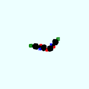 Clc1ccc(-c2nc3cc(Oc4ccc5oc(-c6ccc(Cl)cc6)nc5c4)ccc3o2)cc1